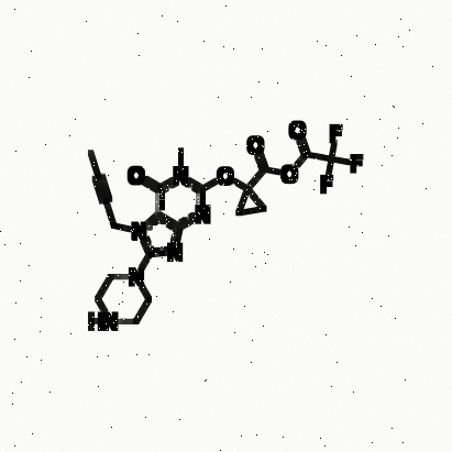 CC#CCn1c(N2CCNCC2)nc2nc(OC3(C(=O)OC(=O)C(F)(F)F)CC3)n(C)c(=O)c21